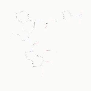 COc1cc2ccn(C(=O)N3CC(CCl)c4c3cc(NC(=O)OCc3ccc([N+](=O)[O-])o3)c3ccccc43)c2c(OC)c1OC